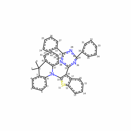 CC1(C)c2ccccc2N(c2sc3ccccc3c2-c2nc(-c3ccccc3)nc(-c3ccccc3)n2)c2ccccc21